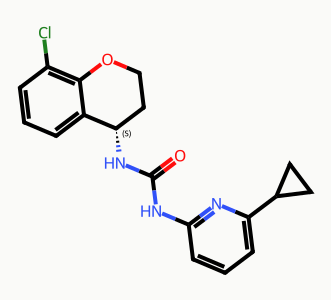 O=C(Nc1cccc(C2CC2)n1)N[C@H]1CCOc2c(Cl)cccc21